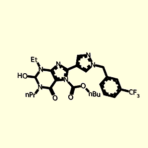 CCCCOC(=O)n1c(-c2cnn(Cc3cccc(C(F)(F)F)c3)c2)nc2c1C(=O)N(CCC)C(O)N2CC